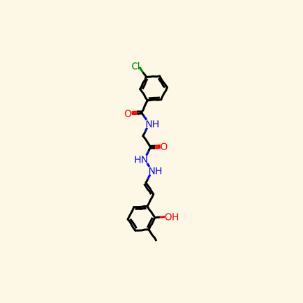 Cc1cccc(/C=C/NNC(=O)CNC(=O)c2cccc(Cl)c2)c1O